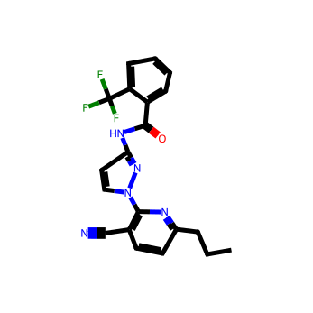 CCCc1ccc(C#N)c(-n2ccc(NC(=O)c3ccccc3C(F)(F)F)n2)n1